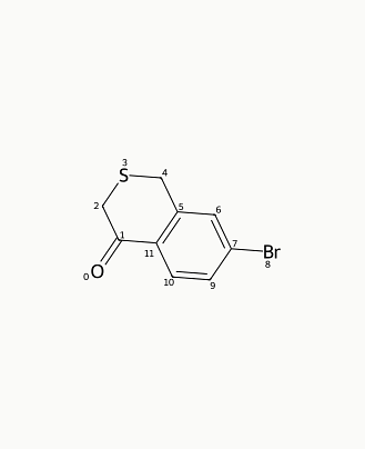 O=C1CSCc2cc(Br)ccc21